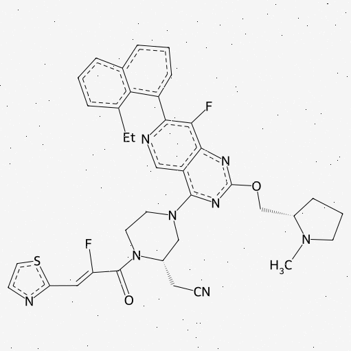 CCc1cccc2cccc(-c3ncc4c(N5CCN(C(=O)/C(F)=C/c6nccs6)[C@@H](CC#N)C5)nc(OC[C@@H]5CCCN5C)nc4c3F)c12